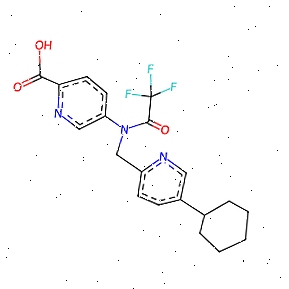 O=C(O)c1ccc(N(Cc2ccc(C3CCCCC3)cn2)C(=O)C(F)(F)F)cn1